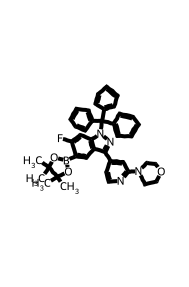 CC1(C)OB(c2cc3c(-c4ccnc(N5CCOCC5)c4)nn(C(c4ccccc4)(c4ccccc4)c4ccccc4)c3cc2F)OC1(C)C